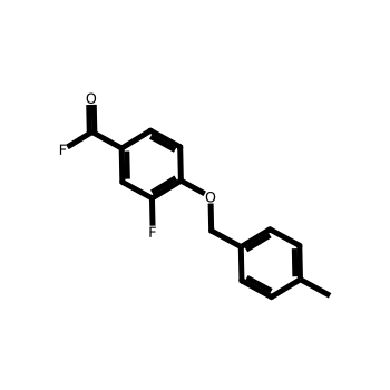 Cc1ccc(COc2ccc(C(=O)F)cc2F)cc1